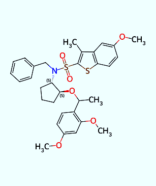 COc1ccc(C(C)O[C@H]2CCC[C@@H]2N(Cc2ccccc2)S(=O)(=O)c2sc3ccc(OC)cc3c2C)c(OC)c1